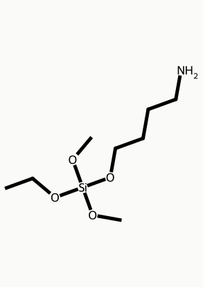 CCO[Si](OC)(OC)OCCCCN